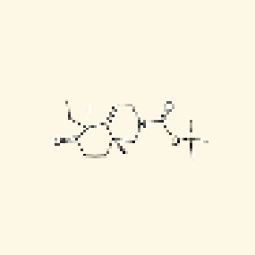 CC[C@]1(C)C(=O)CC[C@@]2(C)CN(C(=O)OC(C)(C)C)CC=C21